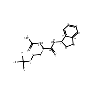 O=C(O)N[C@@H](CCSC(F)(F)F)C(=O)NC1CCc2ccccc21